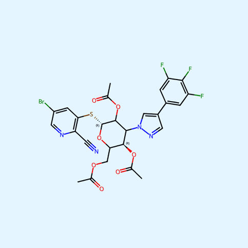 CC(=O)OCC1O[C@H](Sc2cc(Br)cnc2C#N)C(OC(C)=O)C(n2cc(-c3cc(F)c(F)c(F)c3)cn2)[C@H]1OC(C)=O